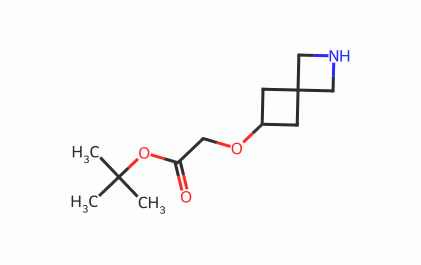 CC(C)(C)OC(=O)COC1CC2(CNC2)C1